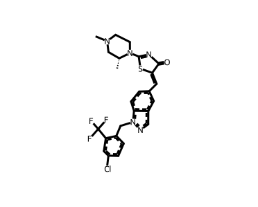 C[C@@H]1CN(C)CCN1C1=NC(=O)/C(=C/c2ccc3c(cnn3Cc3ccc(Cl)cc3C(F)(F)F)c2)S1